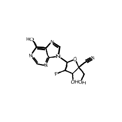 N#CC1(CO)OC(n2cnc3c(O)ncnc32)C(F)C1O